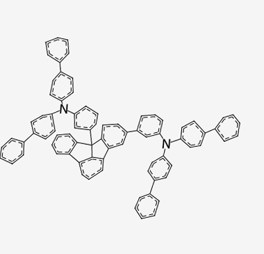 c1ccc(-c2ccc(N(c3ccc(-c4ccccc4)cc3)c3cccc(-c4ccc5c(c4)-c4cccc6c4C5(c4cccc(N(c5ccc(-c7ccccc7)cc5)c5ccc(-c7ccccc7)cc5)c4)c4ccccc4-6)c3)cc2)cc1